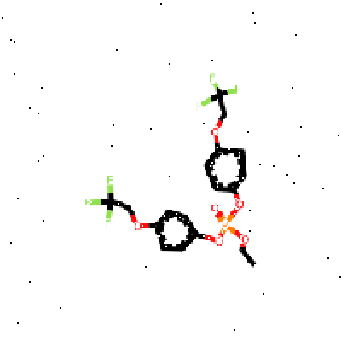 CCOP(=O)(Oc1ccc(OCC(F)(F)F)cc1)Oc1ccc(OCC(F)(F)F)cc1